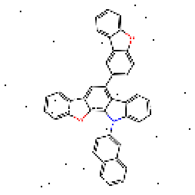 c1ccc2cc(-n3c4ccccc4c4c(-c5ccc6oc7ccccc7c6c5)cc5c6ccccc6oc5c43)ccc2c1